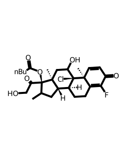 CCCCC(=O)O[C@]1(C(=O)CO)C(C)C[C@H]2[C@@H]3CCC4=C(F)C(=O)C=C[C@]4(C)[C@@]3(Cl)C(O)C[C@@]21C